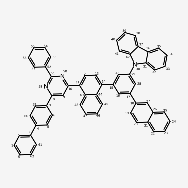 c1ccc(-c2ccc(-c3cc(-c4ccc(-c5cc(-c6ccc7ccccc7c6)cc(-n6c7ccccc7c7ccccc76)c5)c5ccccc45)nc(-c4ccccc4)n3)cc2)cc1